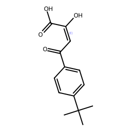 CC(C)(C)c1ccc(C(=O)/C=C(/O)C(=O)O)cc1